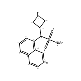 CNS(=O)(=O)C(c1cccc2ccncc12)C1CNC1